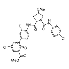 COC(=O)c1cc(Cl)cn(-c2ccc(NC(=O)C3CC(OC)CN3C(=O)Nc3ccc(Cl)cn3)c(F)c2)c1=O